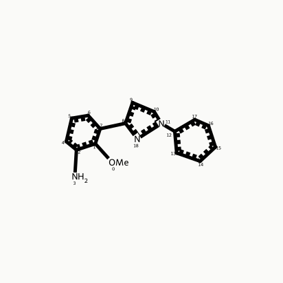 COc1c(N)cccc1-c1ccn(-c2ccccc2)n1